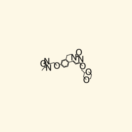 Cc1nc(COc2ccc3c(c2)CCn2c-3cc(OCC3COCCO3)nc2=O)no1